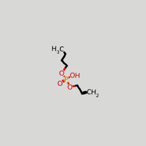 C=CCOP(=O)(O)OCCCC